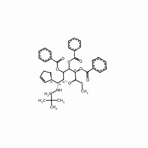 CSC1O[C@H]([C@H](N[SiH2]C(C)(C)C)[C@H]2C=CCC2)C(OC(=O)c2ccccc2)C(OC(=O)c2ccccc2)[C@H]1OC(=O)c1ccccc1